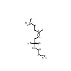 C[SiH2]CC[SiH](C)CCC(F)(F)OCCC(F)(F)F